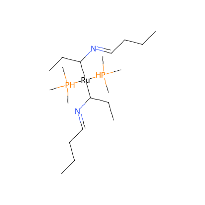 CCCC=N[CH](CC)[Ru]([CH](CC)N=CCCC)([PH](C)(C)C)[PH](C)(C)C